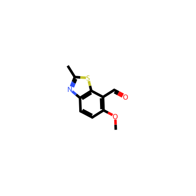 COc1ccc2nc(C)sc2c1C=O